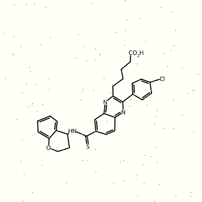 O=C(O)CCCCc1nc2cc(C(=S)NC3CCOc4ccccc43)ccc2nc1-c1ccc(Cl)cc1